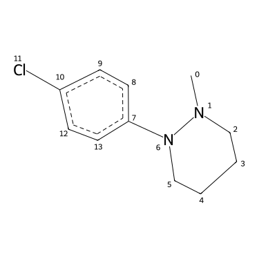 CN1CCCCN1c1ccc(Cl)cc1